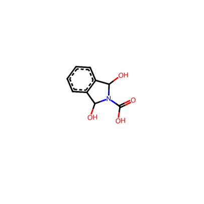 O=C(O)N1C(O)c2ccccc2C1O